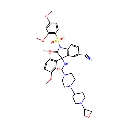 COc1ccc(S(=O)(=O)N2C(=O)C(NC(=O)N3CCN(C4CCN(C5COC5)CC4)CC3)(c3cc(OC)ccc3OC)c3cc(C#N)ccc32)c(OC)c1